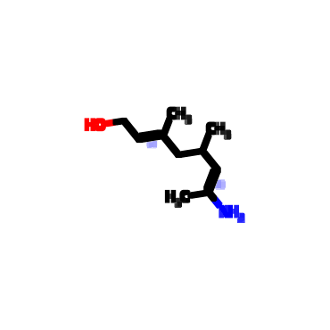 C/C(N)=C\C(C)C/C(C)=C/CO